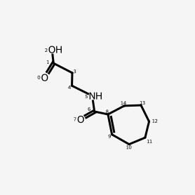 O=C(O)CCNC(=O)C1=CCCCCC1